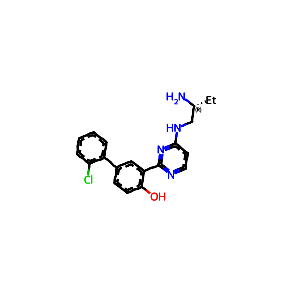 CC[C@@H](N)CNc1ccnc(-c2cc(-c3ccccc3Cl)ccc2O)n1